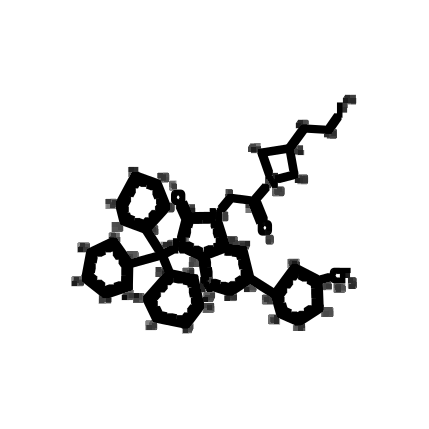 O=C(Cn1c(=O)n(C(c2ccccc2)(c2ccccc2)c2ccccc2)c2ncc(-c3cccc(C(F)(F)F)c3)cc21)N1CC(CCF)C1